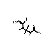 CSC(=NO)C(C)C(C)(C)C(F)C(N)=O